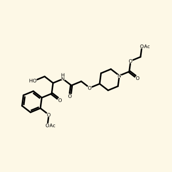 CC(=O)OCOC(=O)N1CCC(OCC(=O)NC(CO)C(=O)c2ccccc2OOC(C)=O)CC1